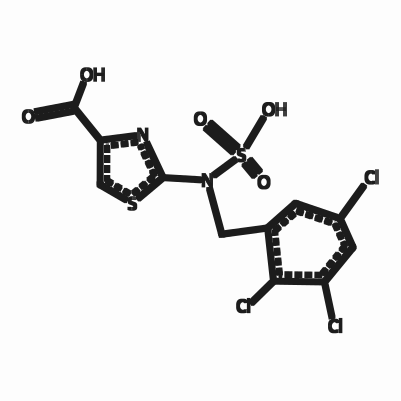 O=C(O)c1csc(N(Cc2cc(Cl)cc(Cl)c2Cl)S(=O)(=O)O)n1